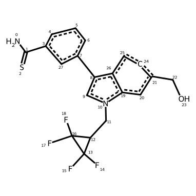 NC(=S)c1cccc(-c2cn(CC3C(F)(F)C3(F)F)c3cc(CO)ccc23)c1